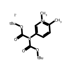 Cc1ccc(N(C(=O)OC(C)(C)C)C(=O)OC(C)(C)C)c[n+]1C.[I-]